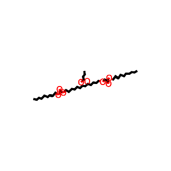 CCCCCC/C=C/COC(=O)OCCCCCCC(CCCCCCOCC(=O)OC/C=C/CCCCCCC)OC(=O)CCC